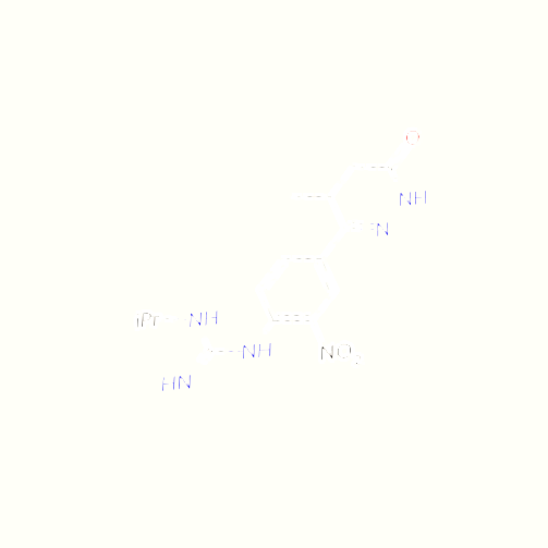 CC(C)NC(=N)Nc1ccc(C2=NNC(=O)CC2C)cc1[N+](=O)[O-]